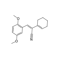 COc1ccc(OC)c(C=C(C#N)C2=CCCCC2)c1